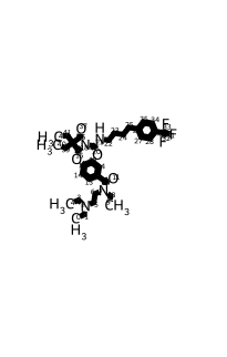 CCN(CC)CCN(CC)C(=O)c1ccc(OC2N(C(=O)NCCCCc3ccc(C(F)(F)F)cc3)C(=O)C2(CC)CC)cc1